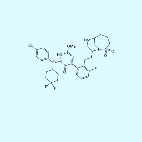 COC(=O)N[C@H](C(=O)Nc1cccc(F)c1CCC1CNC2CCCS(=O)(=O)N1C2)[C@@H](c1ccc(Cl)cc1)C1CCC(F)(F)CC1